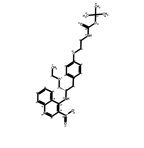 CCOC[C@H](Cc1ccc(OCCNC(=O)OC(C)(C)C)cc1)Nc1c([N+](=O)[O-])cnc2ccccc12